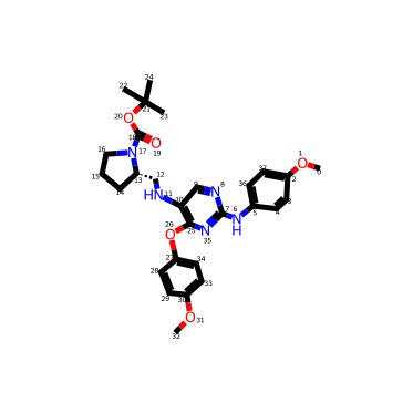 COc1ccc(Nc2ncc(NC[C@@H]3CCCN3C(=O)OC(C)(C)C)c(Oc3ccc(OC)cc3)n2)cc1